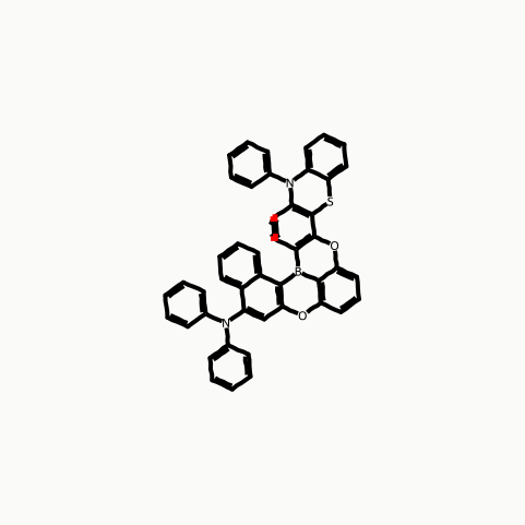 c1ccc(N(c2ccccc2)c2cc3c(c4ccccc24)B2c4c(cccc4Oc4c5c(c6ccccc6c42)N(c2ccccc2)c2ccccc2S5)O3)cc1